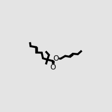 CCC=CCCOC(=O)C(C)(CC)CCC=CCC